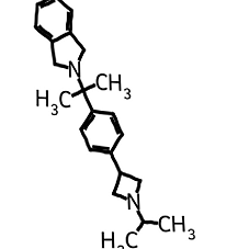 CC(C)N1CC(c2ccc(C(C)(C)N3Cc4ccccc4C3)cc2)C1